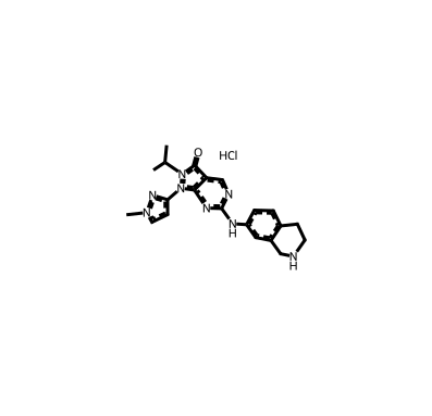 CC(C)n1c(=O)c2cnc(Nc3ccc4c(c3)CNCC4)nc2n1-c1ccn(C)n1.Cl